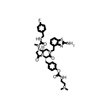 CN(C)CCNC(=O)Oc1ccc(C[C@H]2C(=O)N(Cc3cccc4sc(N)nc34)C[C@H]3N2C(=O)CN3N(C)C(=O)NCc2ccc(F)cc2)cc1